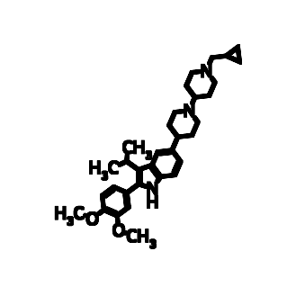 COc1ccc(-c2[nH]c3ccc(C4CCN(C5CCN(CC6CC6)CC5)CC4)cc3c2C(C)C)cc1OC